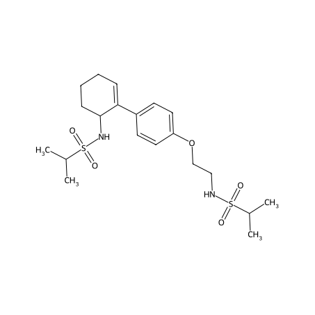 CC(C)S(=O)(=O)NCCOc1ccc(C2=CCCCC2NS(=O)(=O)C(C)C)cc1